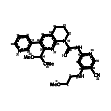 COCCNc1cc(NC(=O)N2CCCc3cc(-c4cccnc4)c(C(OC)OC)nc32)ncc1C#N